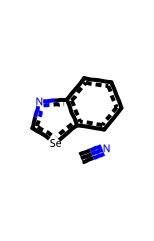 C#N.c1ccc2[se]cnc2c1